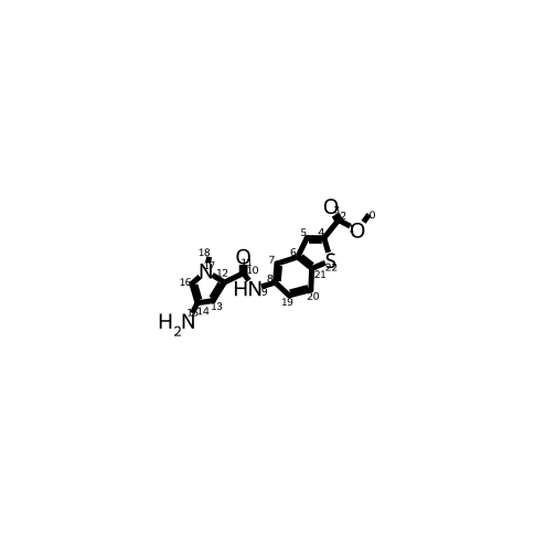 COC(=O)c1cc2cc(NC(=O)c3cc(N)cn3C)ccc2s1